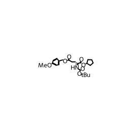 COc1ccc(COC(=O)CC[C@@H](NC(=O)OC(C)(C)C)C(=O)OC2CCCC2)cc1